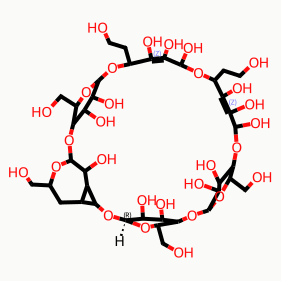 OCCC1OC(O)/C(O)=C(/O)C(CCO)OC2OC(CO)C(OC3OC(CO)CC4C(O[C@@H]5OC(CO)C(OC6OC(CO)C(OC(O)/C(O)=C\1O)C(O)C6O)C(O)C5O)C4C3O)C(O)C2O